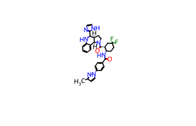 Cc1ccn(-c2ccc(C(=O)N[C@@H]3CCC(F)(F)C[C@@H]3C(=O)N3CC[C@@H]4C(c5ncc[nH]5)Nc5ccccc5[C@@H]43)cc2)n1